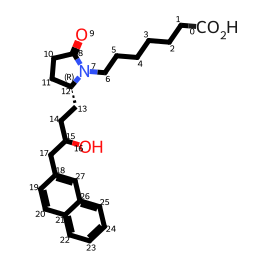 O=C(O)CCCCCCN1C(=O)CC[C@H]1CCC(O)Cc1ccc2ccccc2c1